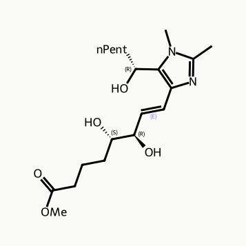 CCCCC[C@@H](O)c1c(/C=C/[C@@H](O)[C@@H](O)CCCC(=O)OC)nc(C)n1C